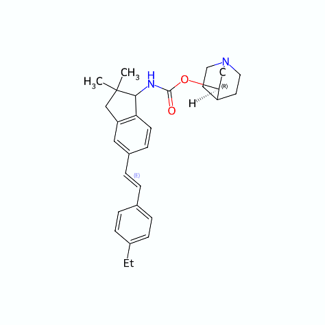 CCc1ccc(/C=C/c2ccc3c(c2)CC(C)(C)C3NC(=O)O[C@H]2CN3CCC2CC3)cc1